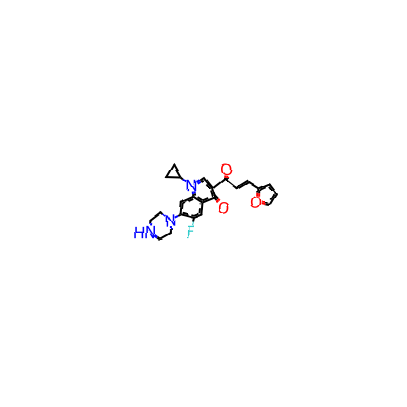 O=C(C=Cc1ccco1)c1cn(C2CC2)c2cc(N3CCNCC3)c(F)cc2c1=O